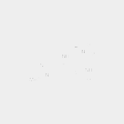 COc1cnc2cc(CNCCC[C@H]3COC(=O)N3c3ccc4c(c3)NC(=O)CS4)c(F)cc2n1